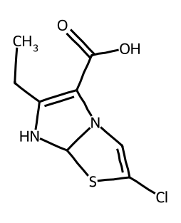 CCC1=C(C(=O)O)N2C=C(Cl)SC2N1